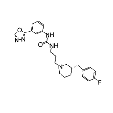 O=C(NCCCN1CCC[C@@H](Cc2ccc(F)cc2)C1)Nc1cccc(-c2nnco2)c1